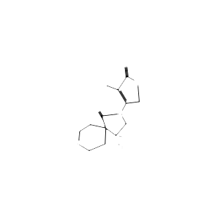 CC1=C(N2C[C@H](O)C3(CCNCC3)C2=O)COC1=O